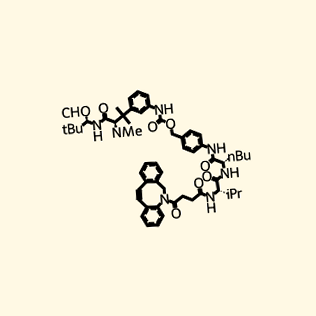 CCCC[C@H](NC(=O)[C@@H](NC(=O)CCC(=O)N1Cc2ccccc2C#Cc2ccccc21)C(C)C)C(=O)Nc1ccc(COC(=O)Nc2cccc(C(C)(C)[C@@H](NC)C(=O)N[C@H](C=O)C(C)(C)C)c2)cc1